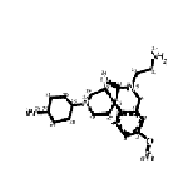 CC(C)Oc1ccc2c(c1)CN(CCN)C(=O)C21CCN(C2CCC(C(C)C)CC2)CC1